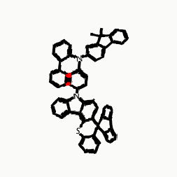 CC1(C)c2ccccc2-c2ccc(N(c3ccc(-n4c5ccccc5c5c6c(ccc54)C4(c5ccccc5S6)c5ccccc5-c5ccccc54)cc3)c3ccccc3-c3ccccc3)cc21